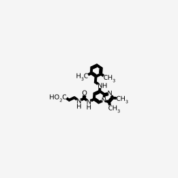 Cc1cccc(C)c1CNc1cc(NC(=O)NCCC(=O)O)cn2c(C)c(C)nc12